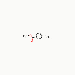 CCc1ccc(C(=O)OC)cc1